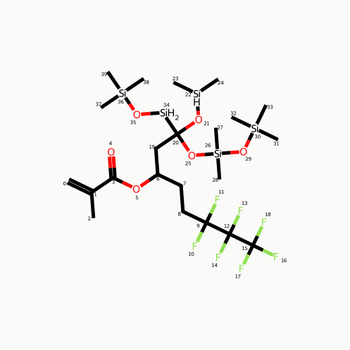 C=C(C)C(=O)OC(CCC(F)(F)C(F)(F)C(F)(F)F)CC(O[SiH](C)C)(O[Si](C)(C)O[Si](C)(C)C)[SiH2]O[Si](C)(C)C